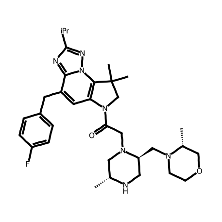 CC(C)c1nc2c(Cc3ccc(F)cc3)cc3c(n2n1)C(C)(C)CN3C(=O)CN1C[C@@H](C)NC[C@@H]1CN1CCOC[C@H]1C